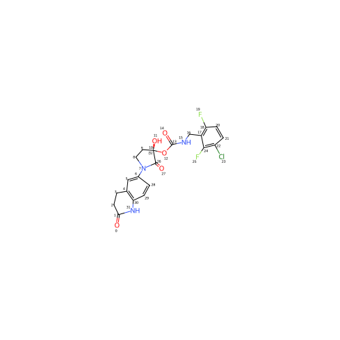 O=C1CCc2cc(N3CC[C@](O)(OC(=O)NCc4c(F)ccc(Cl)c4F)C3=O)ccc2N1